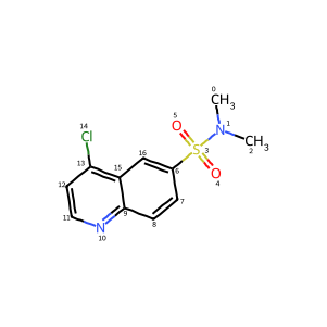 CN(C)S(=O)(=O)c1ccc2nccc(Cl)c2c1